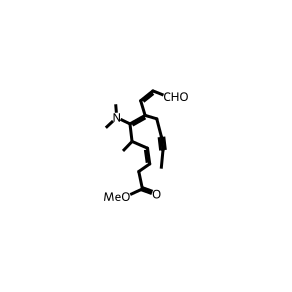 CC#CCC(/C=C\C=O)=C(\C(C)/C=C\CC(=O)OC)N(C)C